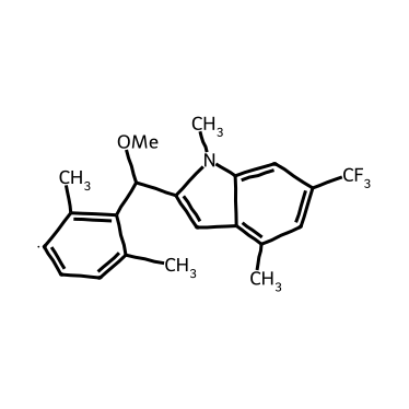 COC(c1c(C)[c]ccc1C)c1cc2c(C)cc(C(F)(F)F)cc2n1C